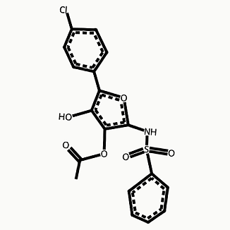 CC(=O)Oc1c(NS(=O)(=O)c2ccccc2)oc(-c2ccc(Cl)cc2)c1O